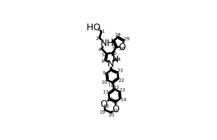 OCCNCc1cn(-c2ccc(-c3ccc4c(c3)OCCO4)cc2)nc1-c1ccco1